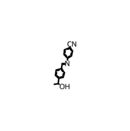 CC(O)c1ccc(/C=N/c2ccc(C#N)cc2)cc1